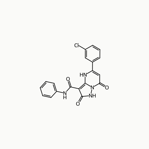 O=C(Nc1ccccc1)c1c(=O)[nH]n2c(=O)cc(-c3cccc(Cl)c3)[nH]c12